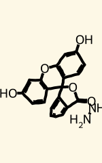 NN.O=C1OC2(c3ccc(O)cc3Oc3cc(O)ccc32)c2ccccc21